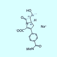 CNC(=O)c1ccc(C2=C(C(=O)[O-])N3C(=O)[C@H]([C@@H](C)O)[C@H]3C2)cc1.[Na+]